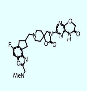 CNCc1nc2c3c(c(F)cc2o1)CC(CN1CCC2(CC1)CN(c1cnc4c(n1)NC(=O)CO4)C(=O)O2)C3